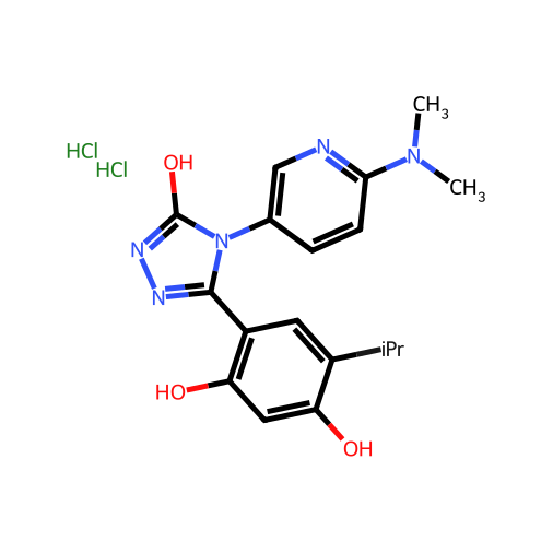 CC(C)c1cc(-c2nnc(O)n2-c2ccc(N(C)C)nc2)c(O)cc1O.Cl.Cl